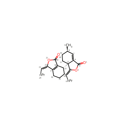 CCC/C=C1\OC(=O)C2=C[C@H](C)CCC21[C@@H]1CCCC2=C1C(=O)O/C2=C/CCC